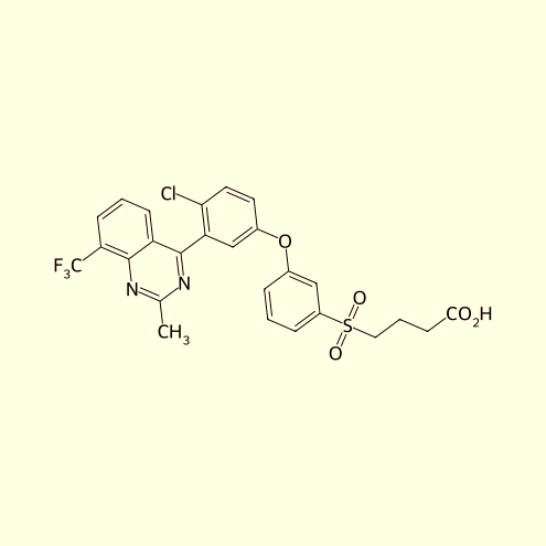 Cc1nc(-c2cc(Oc3cccc(S(=O)(=O)CCCC(=O)O)c3)ccc2Cl)c2cccc(C(F)(F)F)c2n1